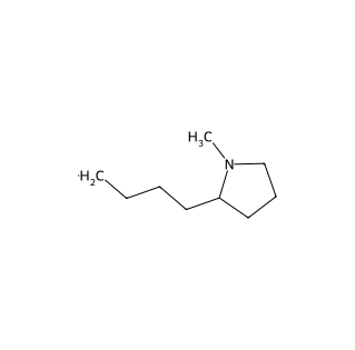 [CH2]CCCC1CCCN1C